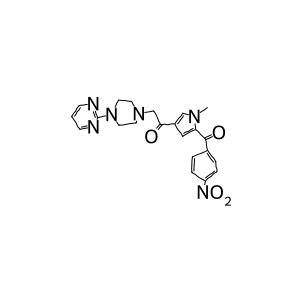 Cn1cc(C(=O)CN2CCN(c3ncccn3)CC2)cc1C(=O)c1ccc([N+](=O)[O-])cc1